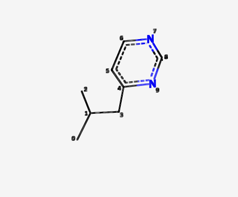 CC(C)Cc1ccn[c]n1